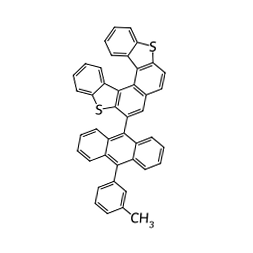 Cc1cccc(-c2c3ccccc3c(-c3cc4ccc5sc6ccccc6c5c4c4c3sc3ccccc34)c3ccccc23)c1